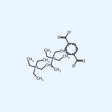 CC[P+](CC)(CC)CC.CC[P+](CC)(CC)CC.O=C([O-])c1ccc(C(=O)[O-])cc1